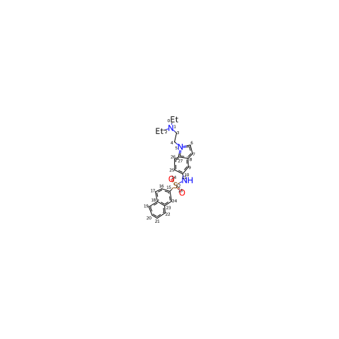 CCN(CC)CCn1ccc2cc(NS(=O)(=O)c3ccc4ccccc4c3)ccc21